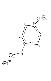 C[CH]OCc1ccc(CCCC)cc1